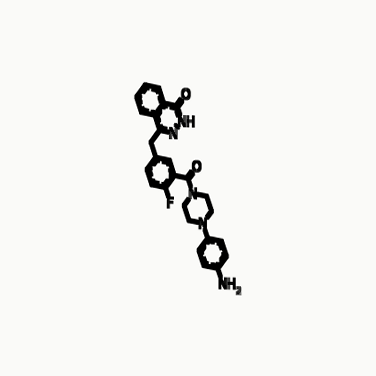 Nc1ccc(N2CCN(C(=O)c3cc(Cc4n[nH]c(=O)c5ccccc45)ccc3F)CC2)cc1